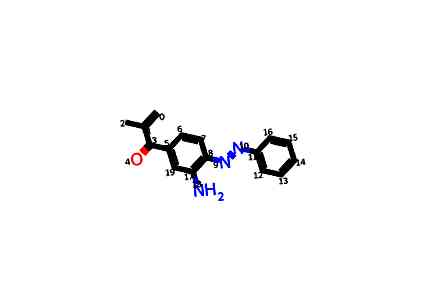 C=C(C)C(=O)c1ccc(N=Nc2ccccc2)c(N)c1